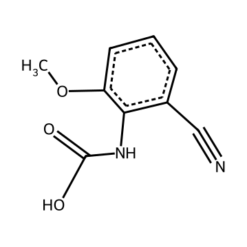 COc1cccc(C#N)c1NC(=O)O